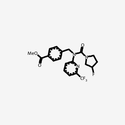 COC(=O)c1ccc(CN(C(=O)N2CCC(F)C2)c2cccc(C(F)(F)F)n2)cc1